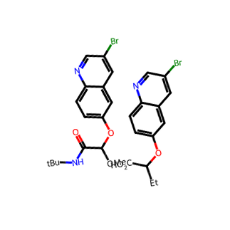 CCC(Oc1ccc2ncc(Br)cc2c1)C(=O)O.COC(Oc1ccc2ncc(Br)cc2c1)C(=O)NC(C)(C)C